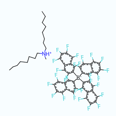 CCCCCCCC[NH+](C)CCCCCCCC.Fc1c(F)c(F)c2c(F)c([B-](c3c(F)c(F)c4c(F)c(F)c(F)c(F)c4c3F)(c3c(F)c(F)c4c(F)c(F)c(F)c(F)c4c3F)c3c(F)c(F)c4c(F)c(F)c(F)c(F)c4c3F)c(F)c(F)c2c1F